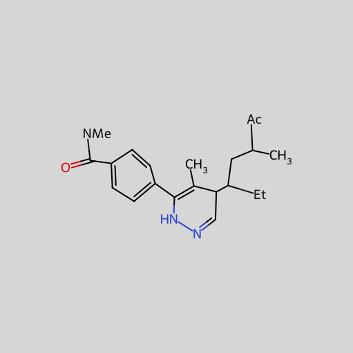 CCC(CC(C)C(C)=O)C1C=NNC(c2ccc(C(=O)NC)cc2)=C1C